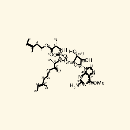 C/C=C(/C)CCOC(=O)[C@H](C)NP(=O)(N[C@@H](C)C(=O)OCC/C(C)=C/C)OC[C@H]1O[C@@H](n2cnc3c(OC)nc(N)nc32)[C@](C)(O)[C@@H]1O